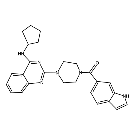 O=C(c1ccc2cc[nH]c2c1)N1CCN(c2nc(NC3CCCC3)c3ccccc3n2)CC1